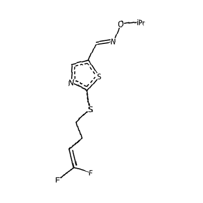 CC(C)ON=Cc1cnc(SCCC=C(F)F)s1